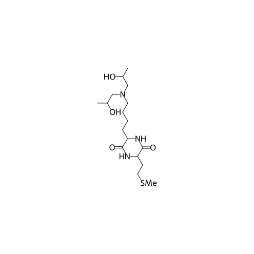 CSCCC1NC(=O)C(CCCCN(CC(C)O)CC(C)O)NC1=O